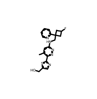 Cc1cc(NCC2(c3ccccn3)CC(F)C2)nnc1-c1ncc(CO)s1